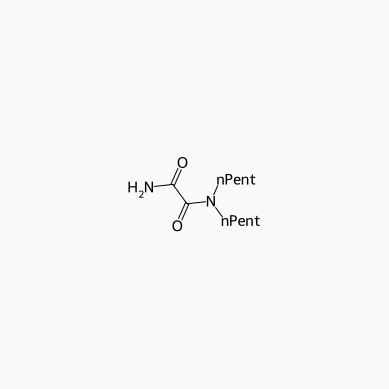 CCCCCN(CCCCC)C(=O)C(N)=O